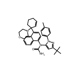 Cc1ccc(-n2nc(C(C)(C)C)cc2N(C(N)=O)c2ccc(C3(N4CCOCC4)C=CCCC3)c3ccccc23)cc1